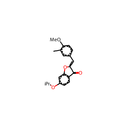 COc1ccc(/C=C2\Oc3cc(OC(C)C)ccc3C2=O)cc1C